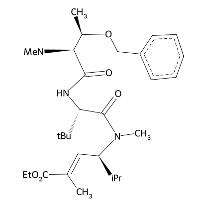 CCOC(=O)/C(C)=C/[C@H](C(C)C)N(C)C(=O)[C@@H](NC(=O)[C@@H](NC)[C@@H](C)OCc1ccccc1)C(C)(C)C